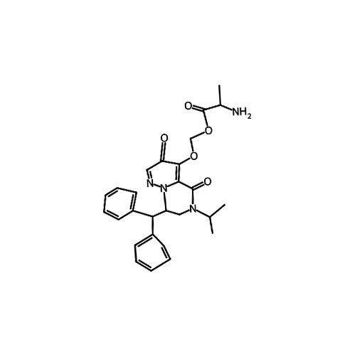 CC(N)C(=O)OCOc1c2n(ncc1=O)C(C(c1ccccc1)c1ccccc1)CN(C(C)C)C2=O